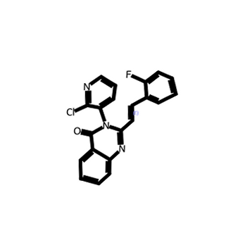 O=c1c2ccccc2nc(/C=C/c2ccccc2F)n1-c1cccnc1Cl